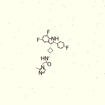 Cc1nccn1CC(=O)NC[C@H]1C[C@@H](c2c(-c3ccc(F)cc3)[nH]c3c(F)cc(F)cc32)C1